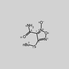 CCCCSc1no[n+]([O-])c1C(N)=O